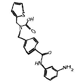 Nc1cccc(NC(=O)c2ccc(CN(Cc3cccs3)C(=O)O)cc2)c1